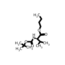 CCCCOC(=O)[C@H](NC(=O)OC(C)(C)C)C(C)C